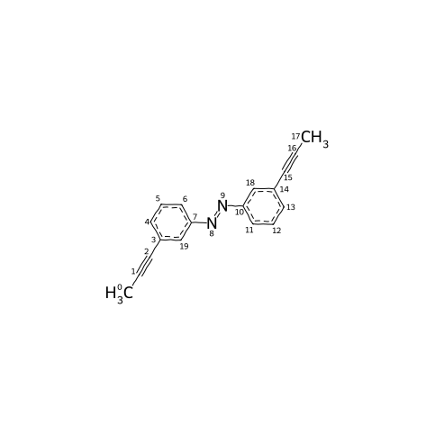 CC#Cc1cccc(/N=N/c2cccc(C#CC)c2)c1